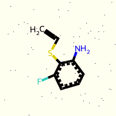 C=CSc1c(N)cccc1F